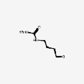 CCCCCC(=O)NCCCCCl